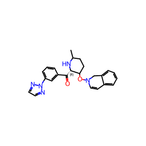 CC1CCC(ON2C=Cc3ccccc3C2)[C@H](C(=O)c2cccc(-n3nccn3)c2)N1